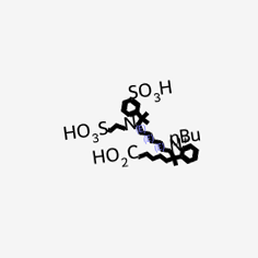 CCCC[N+]1=C(/C=C/C=C/C=C2/N(CCCS(=O)(=O)O)c3ccc(S(=O)(=O)O)cc3C2(C)C)C(C)(CCCCCC(=O)O)c2ccccc21